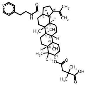 C=C(C)[C@@H]1CC[C@]2(C(=O)NCCc3ccncc3)CC[C@]3(C)[C@H](CC[C@@H]4[C@@]5(C)CC[C@H](OC(=O)CC(C)(C)C(=O)O)C(C)(C)[C@@H]5CC[C@]43C)[C@@H]12